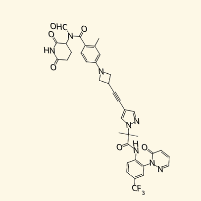 Cc1cc(N2CC(C#Cc3cnn(C(C)(C)C(=O)Nc4ccc(C(F)(F)F)cc4-n4ncccc4=O)c3)C2)ccc1C(=O)N(C=O)C1CCC(=O)NC1=O